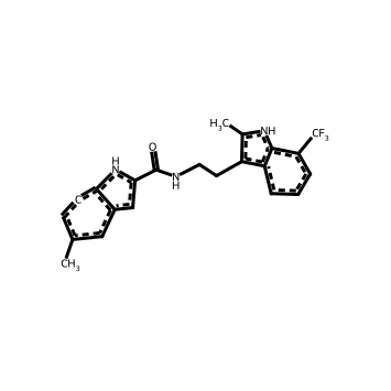 Cc1ccc2[nH]c(C(=O)NCCc3c(C)[nH]c4c(C(F)(F)F)cccc34)cc2c1